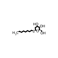 CCCCCCCCS[C@H]1C[C@@H](O)[C@H](O)[C@@H](CO)O1